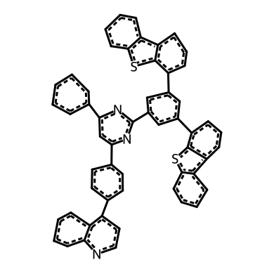 c1ccc(-c2cc(-c3ccc(-c4ccnc5ccccc45)cc3)nc(-c3cc(-c4cccc5c4sc4ccccc45)cc(-c4cccc5c4sc4ccccc45)c3)n2)cc1